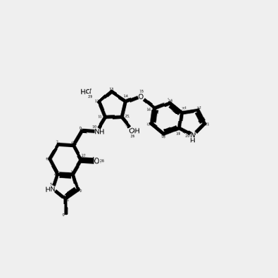 Cc1cc2c([nH]1)CCC(CNC1CCC(Oc3ccc4[nH]ccc4c3)C1O)C2=O.Cl